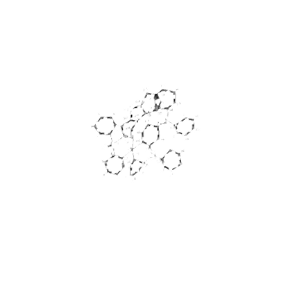 O=P1(c2ccccc2)c2ccccc2C2(c3ccccc3N(c3ccccc3)c3cc(N(c4ccccc4)c4ccccc4)ccc32)c2cc3c(cc21)sc1ccccc13